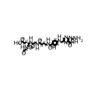 Nc1nc2ncc(CNc3ccc(C(O)NCCCC(=O)NCC(=O)N[C@@H](CCC(=O)O)C(=O)NCC=O)cc3)nc2c(=O)[nH]1